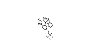 COC1C(=O)Nc2ccc(/C=C/C3(C)CCCN3)cc2C1(O)c1ccccc1